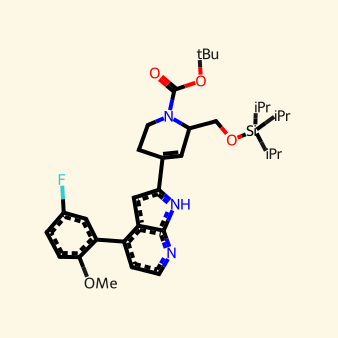 COc1ccc(F)cc1-c1ccnc2[nH]c(C3=CC(CO[Si](C(C)C)(C(C)C)C(C)C)N(C(=O)OC(C)(C)C)CC3)cc12